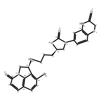 O=C1CSc2ccc(N3C[C@@H](CCCN[C@@H]4Cn5c(=O)ccc6ccc(Br)c4c65)OC3=O)cc2N1